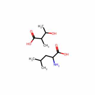 CC(C)CC(N)C(=O)O.CC(O)C(C)C(=O)O